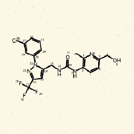 Cc1nc(CO)ccc1NC(=O)NCc1cc(C(F)(F)F)nn1-c1cccc(Cl)c1